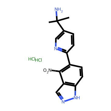 CC(C)(N)c1ccc(-c2ccc3[nH]ncc3c2[N+](=O)[O-])nc1.Cl.Cl